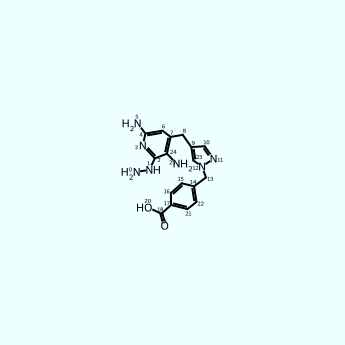 NNc1nc(N)cc(Cc2cnn(Cc3ccc(C(=O)O)cc3)c2)c1N